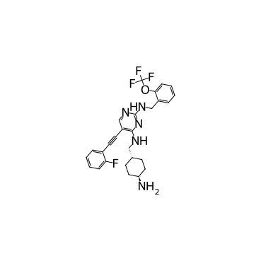 N[C@H]1CC[C@H](CNc2nc(NCc3ccccc3OC(F)(F)F)ncc2C#Cc2ccccc2F)CC1